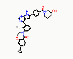 Cc1c(-c2ncnc3[nH]c(-c4ccc(C(=O)N5CCCC(O)C5)cc4)cc23)cccc1N1CCOc2cc(C3CC3)ccc2C1=O